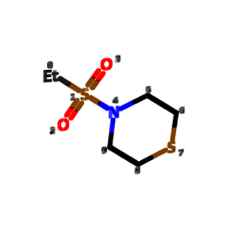 CCS(=O)(=O)N1CCSCC1